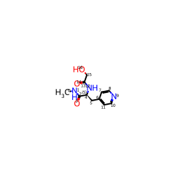 CNC(=O)[C@H](Cc1ccncc1)NC(=O)CO